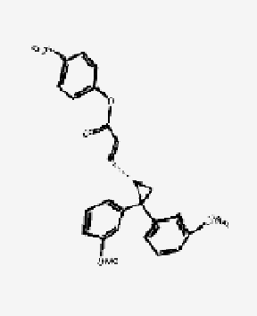 COc1cccc(C2(c3cccc(OC)c3)C[C@H]2/C=C/C(=O)Oc2ccc([N+](=O)[O-])cc2)c1